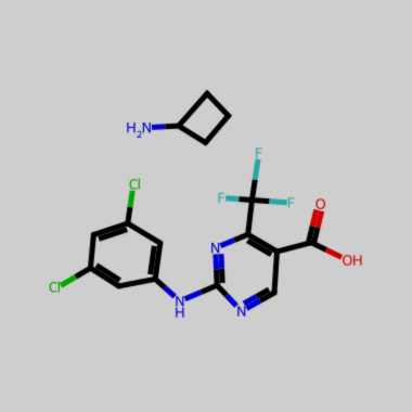 NC1CCC1.O=C(O)c1cnc(Nc2cc(Cl)cc(Cl)c2)nc1C(F)(F)F